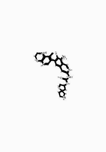 Cc1c(-c2cc3cc(NC(=O)OC4COC5(CCNC5)C4)ncc3c(N)c2F)cnc2c1NCCO2